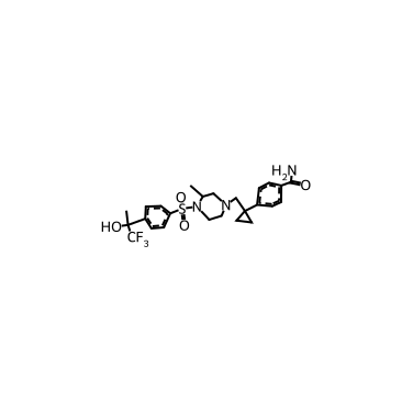 CC1CN(CC2(c3ccc(C(N)=O)cc3)CC2)CCN1S(=O)(=O)c1ccc(C(C)(O)C(F)(F)F)cc1